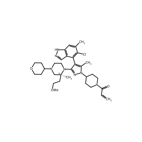 C=CC(=O)N1CCC(n2nc(N3CCN(C4CCOCC4)C[C@]3(C)CCOC)c(-c3c(Cl)c(C)cc4[nH]ncc34)c2C)CC1